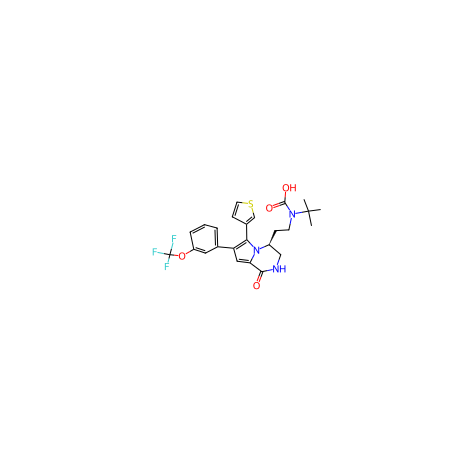 CC(C)(C)N(CC[C@H]1CNC(=O)c2cc(-c3cccc(OC(F)(F)F)c3)c(-c3ccsc3)n21)C(=O)O